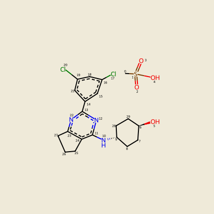 CS(=O)(=O)O.O[C@H]1CC[C@H](Nc2nc(-c3cc(Cl)cc(Cl)c3)nc3c2CCC3)CC1